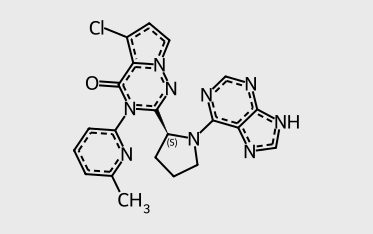 Cc1cccc(-n2c([C@@H]3CCCN3c3ncnc4[nH]cnc34)nn3ccc(Cl)c3c2=O)n1